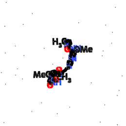 COc1cc2nn(C3CCN(CCCCCN(C)C(=O)c4ccc(OC)c(N5CCC(=O)NC5=O)c4)CC3)cc2cc1NC(=O)c1cccc(C)n1